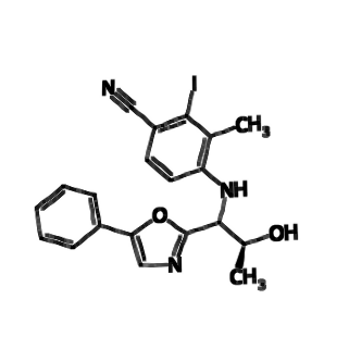 Cc1c(NC(c2ncc(-c3ccccc3)o2)[C@H](C)O)ccc(C#N)c1I